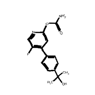 CC(C)(O)c1ccc(-c2cc(OC(N)=O)ncc2F)cc1